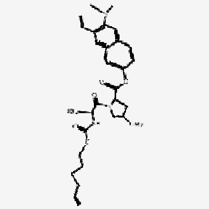 C=CCCCCOC(=O)N[C@H](C(=O)N1CC(OC)CC1C(=O)Oc1ccc2cc(N(C)C)c(C=C)cc2c1)C(C)(C)C